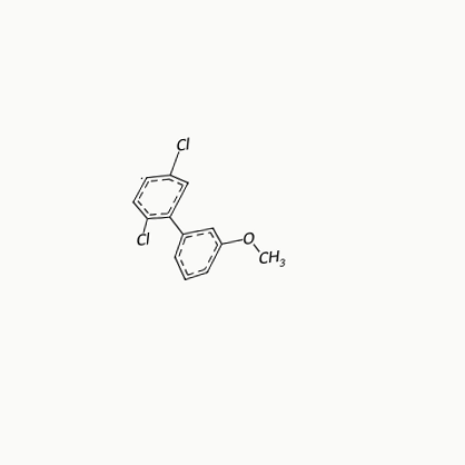 COc1cccc(-c2cc(Cl)[c]cc2Cl)c1